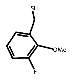 COc1c(F)cccc1CS